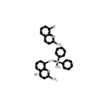 C[Si]([O-])(c1ccccc1)c1ccccc1.Cc1ccc2cccc([O-])c2n1.Cc1ccc2cccc([O-])c2n1.[Al+3]